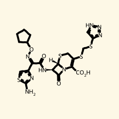 Nc1nc(/C(=N/OC2CCCC2)C(=O)N[C@@H]2C(=O)N3C(C(=O)O)=C(SCSc4c[nH]nn4)CS[C@@H]23)cs1